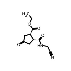 CCOC(=O)[C@@H]1CC(=O)C[C@H]1C(=O)NCC#N